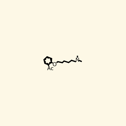 CC(=O)c1ccccc1OCCCCCCN(C)C